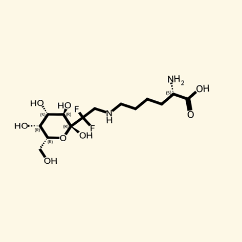 N[C@@H](CCCCNCC(F)(F)[C@]1(O)O[C@H](CO)[C@H](O)[C@H](O)[C@H]1O)C(=O)O